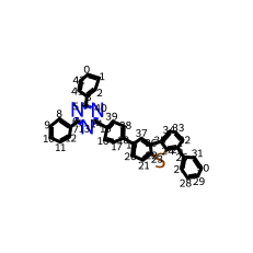 c1ccc(-c2nc(-c3ccccc3)nc(-c3ccc(-c4ccc5sc6c(-c7ccccc7)cccc6c5c4)cc3)n2)cc1